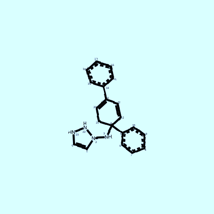 C1=CN(NC2(c3ccccc3)C=CC(c3ccccc3)=CC2)NN1